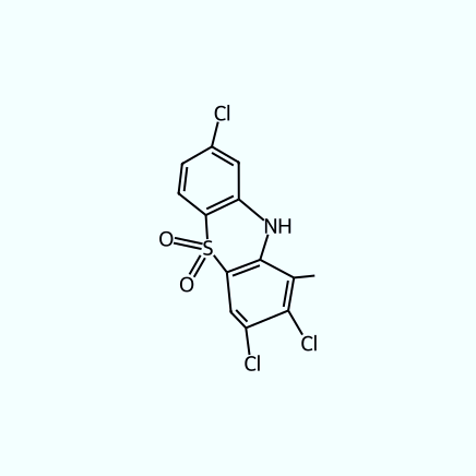 Cc1c(Cl)c(Cl)cc2c1Nc1cc(Cl)ccc1S2(=O)=O